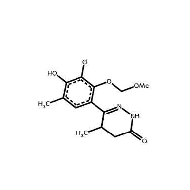 COCOc1c(C2=NNC(=O)CC2C)cc(C)c(O)c1Cl